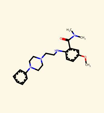 COc1ccc(NCCN2CCN(c3ccccc3)CC2)c(C(=O)N(C)C)c1